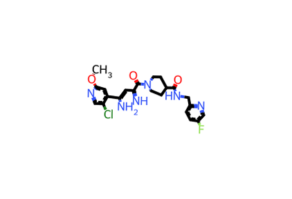 COc1cc(/C(N)=C/C(=N)C(=O)N2CCC(C(=O)NCc3ccc(F)cn3)CC2)c(Cl)cn1